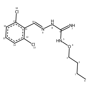 CCCCONC(=N)NN=Cc1c(Cl)cccc1Cl